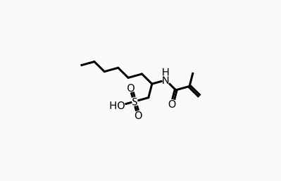 C=C(C)C(=O)NC(CCCCCC)CS(=O)(=O)O